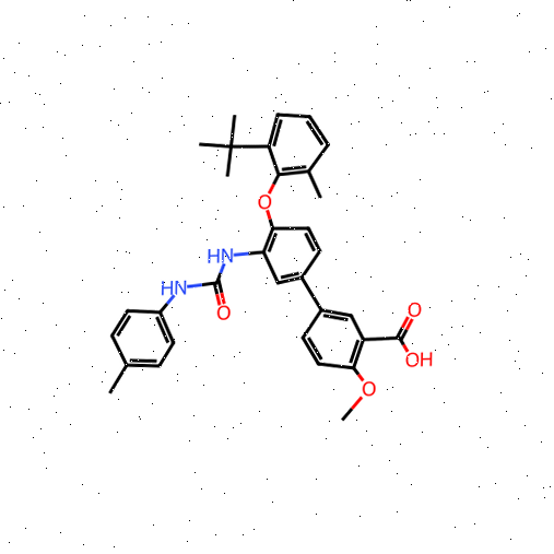 COc1ccc(-c2ccc(Oc3c(C)cccc3C(C)(C)C)c(NC(=O)Nc3ccc(C)cc3)c2)cc1C(=O)O